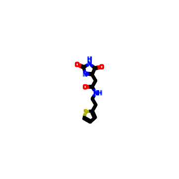 O=C(CC1=NC(=O)NC1=O)NCCc1cccs1